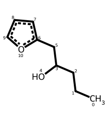 CCCC(O)Cc1ccco1